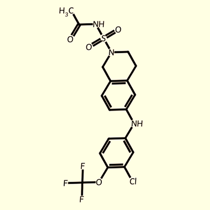 CC(=O)NS(=O)(=O)N1CCc2cc(Nc3ccc(OC(F)(F)F)c(Cl)c3)ccc2C1